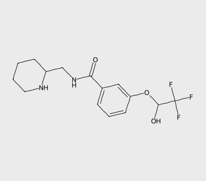 O=C(NCC1CCCCN1)c1cccc(OC(O)C(F)(F)F)c1